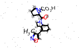 Cc1nocc1-c1cccc2c1CCN2C(=O)C1CCCN1C(=O)O